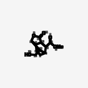 COC(=O)C1C2CCC3C(OC(=O)C31)C2CO